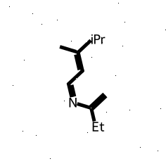 C=C(CC)/N=C\C=C(/C)C(C)C